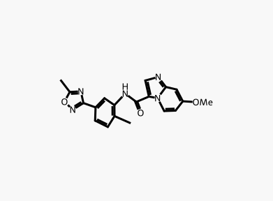 COc1ccn2c(C(=O)Nc3cc(-c4noc(C)n4)ccc3C)cnc2c1